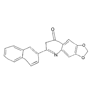 O=C1CC(c2ccc3ccccc3c2)=Nc2cc3c(cc21)OCO3